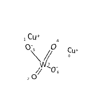 [Cu+].[Cu+].[O]=[W](=[O])([O-])[O-]